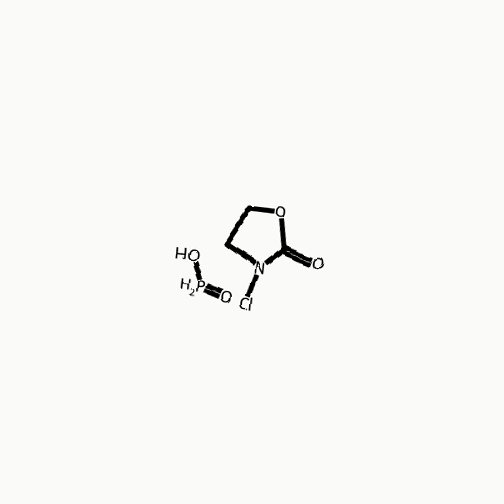 O=C1OCCN1Cl.O=[PH2]O